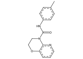 Cc1ccc(NC(=O)N2CCOc3cccnc32)cc1